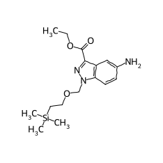 CCOC(=O)c1nn(COCC[Si](C)(C)C)c2ccc(N)cc12